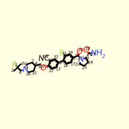 CC(C)(F)CN1CCC(COc2ccc(-c3ccc(C(=O)N4CCC[C@H]4C(N)=O)cc3F)cc2C#N)CC1